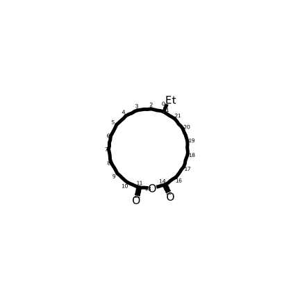 CCC1CCCCCCCCCC(=O)OC(=O)CCCCCC1